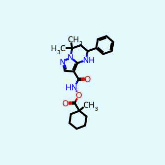 CC1(C(=O)ONC(=O)c2cnn3c2NC(c2ccccc2)CC3(C)C)CCCCC1